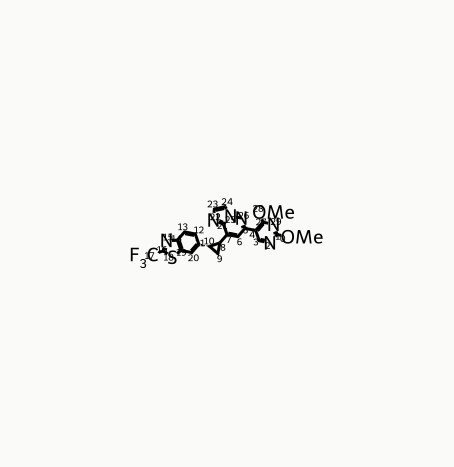 COc1ncc(-c2cc(C3C[C@@H]3c3ccc4nc(C(F)(F)F)sc4c3)c3nccn3n2)c(OC)n1